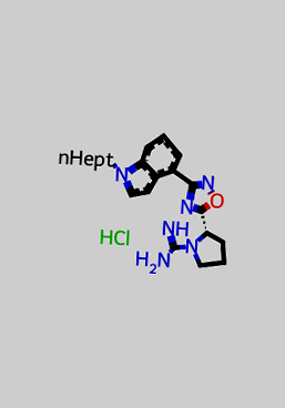 CCCCCCCn1ccc2c(-c3noc([C@@H]4CCCN4C(=N)N)n3)cccc21.Cl